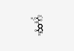 C=C(C)C(=O)Nc1ccc2cn[nH]c(=O)c2c1